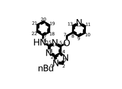 CCCCn1cnc2c(OCc3cccnc3)nc(Nc3ccccc3)nc21